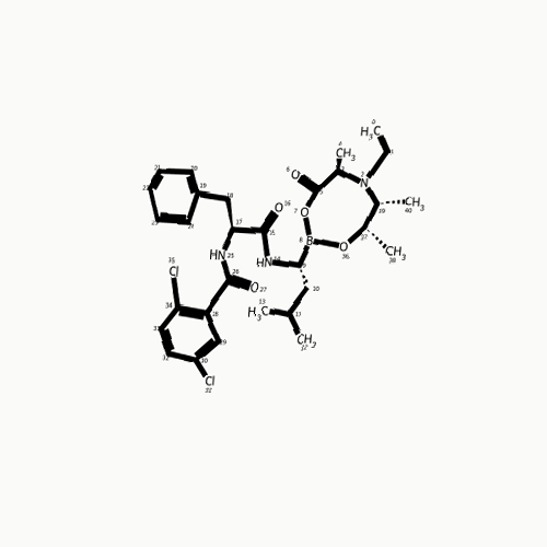 CCN1[C@H](C)C(=O)OB([C@H](CC(C)C)NC(=O)[C@H](Cc2ccccc2)NC(=O)c2cc(Cl)ccc2Cl)O[C@@H](C)[C@H]1C